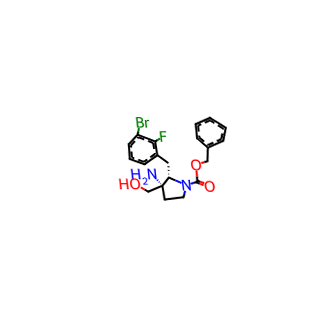 N[C@@]1(CO)CCN(C(=O)OCc2ccccc2)[C@H]1Cc1cccc(Br)c1F